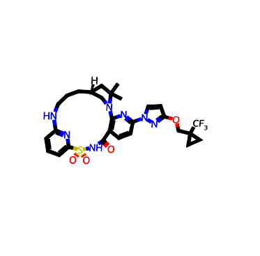 CC1(C)C[C@H]2CCCNc3cccc(n3)S(=O)(=O)NC(=O)c3ccc(-n4ccc(OCC5(C(F)(F)F)CC5)n4)nc3N1C2